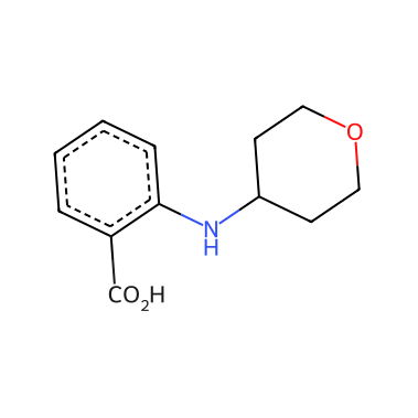 O=C(O)c1ccccc1NC1CCOCC1